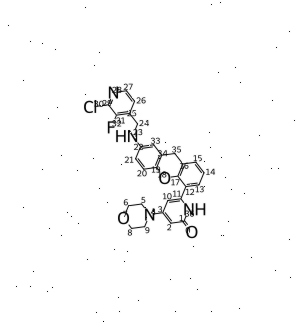 O=c1cc(N2CCOCC2)cc(-c2cccc3c2Oc2ccc(NCc4ccnc(Cl)c4F)cc2C3)[nH]1